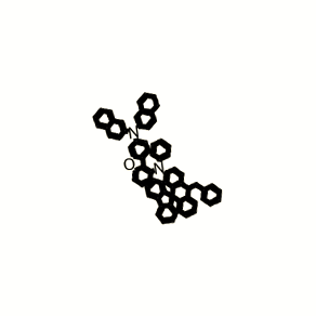 C1=Cc2cc(N(c3ccc4ccccc4c3)c3ccc4c(c3)oc3cccc(N(c5ccccc5)c5ccc6c(c5)C5(c7ccccc7-c7ccccc75)c5ccccc5C6Cc5ccccc5)c34)ccc2CC1